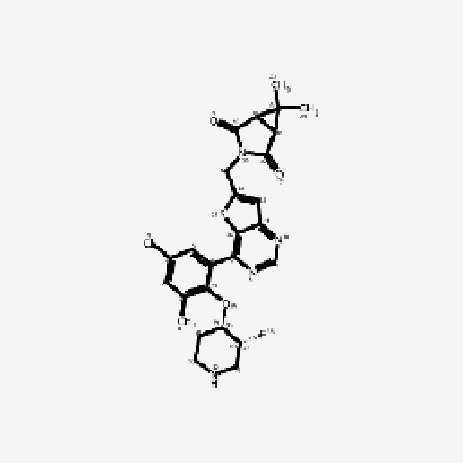 Cc1cc(Cl)cc(-c2ncnc3cc(CN4C(=O)C5C(C4=O)C5(C)C)sc23)c1O[C@@H]1CCNC[C@H]1F